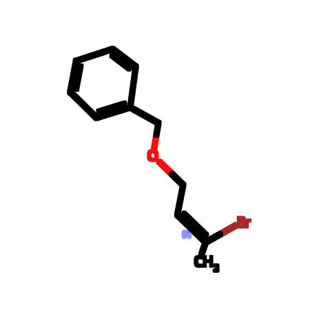 C/C(Br)=C/COCc1ccccc1